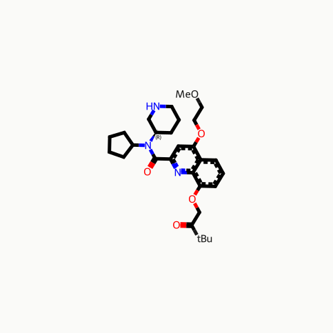 COCCOc1cc(C(=O)N(C2CCCC2)[C@@H]2CCCNC2)nc2c(OCC(=O)C(C)(C)C)cccc12